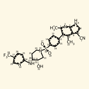 Cc1nc2[nH]cc(C#N)c2c(C)c1-c1ccc(S(=O)(=O)N2CC[C@@H](Nc3ccc(C(F)(F)F)cn3)[C@@H](O)C2)cc1